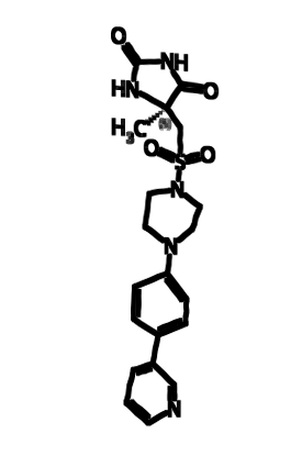 C[C@]1(CS(=O)(=O)N2CCN(c3ccc(-c4cccnc4)cc3)CC2)NC(=O)NC1=O